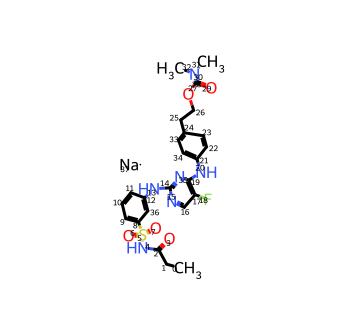 CCC(=O)NS(=O)(=O)c1cccc(Nc2ncc(F)c(Nc3ccc(CCOC(=O)N(C)C)cc3)n2)c1.[Na]